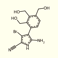 N#Cc1[nH]c(N)c(-c2ccc(CO)c(CO)c2CO)c1Br